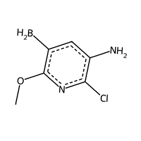 Bc1cc(N)c(Cl)nc1OC